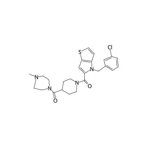 CN1CCN(C(=O)C2CCN(C(=O)c3cc4sccc4n3Cc3cccc(Cl)c3)CC2)CC1